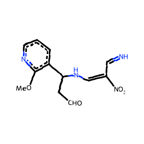 COc1ncccc1C(CC=O)N/C=C(\C=N)[N+](=O)[O-]